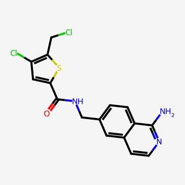 Nc1nccc2cc(CNC(=O)c3cc(Cl)c(CCl)s3)ccc12